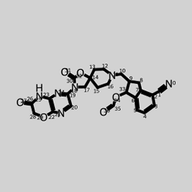 N#Cc1cccc2c1CC(CN1CCC3(CC1)CN(c1cnc4c(n1)NC(=O)CO4)C(=O)O3)C2OC=O